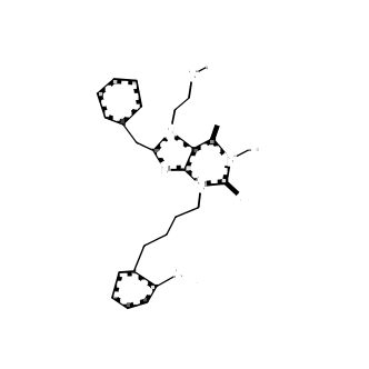 CCCn1c(=O)c2c(nc(Cc3ccccc3)n2CCNCC)n(CCCCc2ccccc2N)c1=O